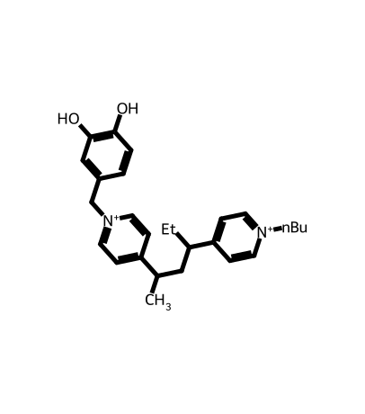 CCCC[n+]1ccc(C(CC)CC(C)c2cc[n+](Cc3ccc(O)c(O)c3)cc2)cc1